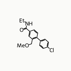 CCNC(=O)c1ccc(-c2ccc(Cl)cc2)c(COC)c1